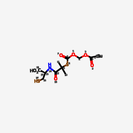 CC(C)(C)C(=O)OCOC(=O)SC(C)(C)C(=O)N[C@@H](CS)C(=O)O